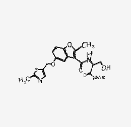 CNC(=O)C(CO)NC(=O)c1c(C)oc2ccc(OCc3cnc(C)s3)cc12